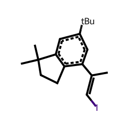 CC(=CI)c1cc(C(C)(C)C)cc2c1CCC2(C)C